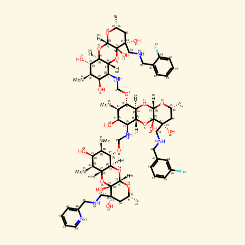 CN[C@@H]1[C@H](O)[C@H](NCO[C@H]2[C@H](NC)[C@H](O)[C@H](NCO[C@H]3[C@H](NC)[C@H](O)[C@H](NC)[C@H]4O[C@]5(O)[C@H](O[C@@H]43)O[C@H](C)C[C@@]5(O)CNCc3ccccn3)[C@H]3O[C@]4(O)[C@H](O[C@@H]32)O[C@H](C)C[C@@]4(O)CNCc2cccc(F)c2)[C@H]2O[C@]3(O)[C@H](O[C@@H]2[C@H]1O)O[C@H](C)C[C@@]3(O)CNCc1ccccc1F